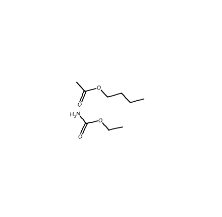 CCCCOC(C)=O.CCOC(N)=O